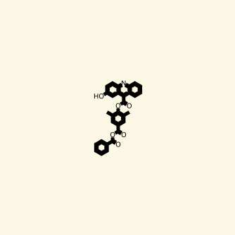 Cc1cc(C(=O)OC(=O)c2ccccc2)cc(C)c1OC(=O)c1c2ccccc2nc2ccc(O)cc12